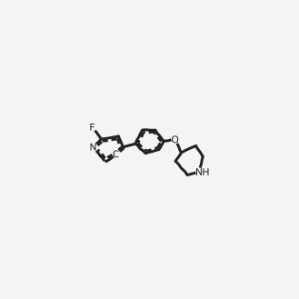 Fc1cc(-c2ccc(OC3CCNCC3)cc2)ccn1